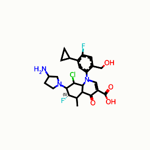 CC1C2C(=O)C(C(=O)O)=CN(c3cc(C4CC4)c(F)cc3CO)C2C(Cl)C(N2CCC(N)C2)[C@H]1F